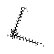 CCCCCCCCCCCCCCCC(=O)C(O)(CN)C(=O)CCCCCCCCCCCCCCC